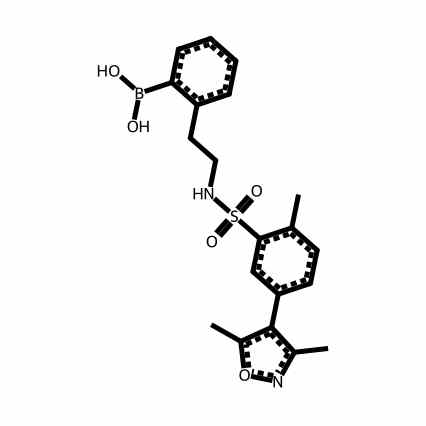 Cc1ccc(-c2c(C)noc2C)cc1S(=O)(=O)NCCc1ccccc1B(O)O